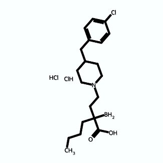 BC(CCCC)(CCN1CCC(Cc2ccc(Cl)cc2)CC1)C(=O)O.Cl.Cl